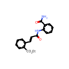 CCOC(=O)c1ccccc1C=CC(=O)Nc1ccccc1C(N)=O